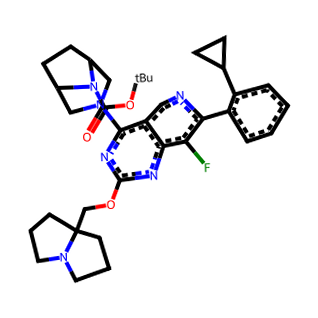 CC(C)(C)OC(=O)N1C2CCC1CN(c1nc(OCC34CCCN3CCC4)nc3c(F)c(-c4ccccc4C4CC4)ncc13)C2